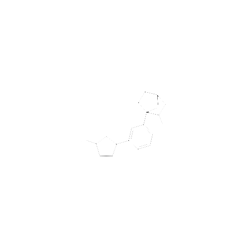 CC1CCC(c2cccc(C34CCC(CC3C)O4)c2)C1